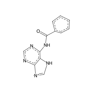 O=C(Nc1ncnc2c1NC=[N+]2)c1ccccc1